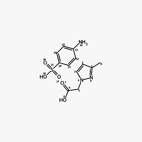 Cc1ccn(CC(=O)O)n1.Nc1ccc(S(=O)(=O)O)cc1